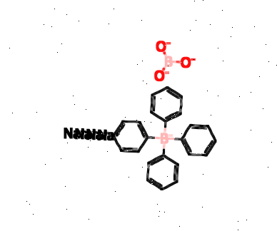 [Na+].[Na+].[Na+].[Na+].[O-]B([O-])[O-].c1ccc([B-](c2ccccc2)(c2ccccc2)c2ccccc2)cc1